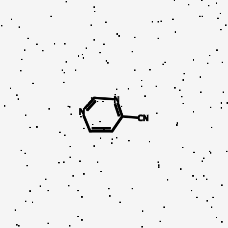 N#Cc1ccn[c]n1